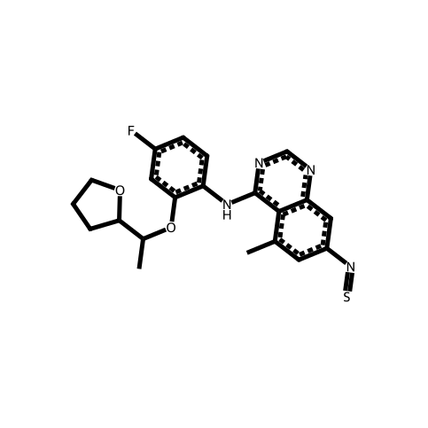 Cc1cc(N=S)cc2ncnc(Nc3ccc(F)cc3OC(C)C3CCCO3)c12